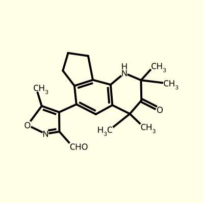 Cc1onc(C=O)c1-c1cc2c(c3c1CCC3)NC(C)(C)C(=O)C2(C)C